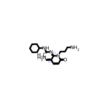 C=C(/N=C1\C(=C/N)C=CC(=O)N1CCCN)NC1CCCCC1